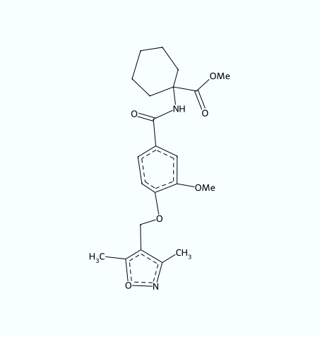 COC(=O)C1(NC(=O)c2ccc(OCc3c(C)noc3C)c(OC)c2)CCCCC1